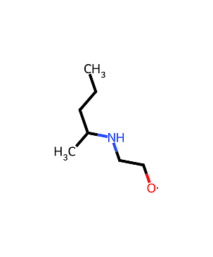 CCCC(C)NCC[O]